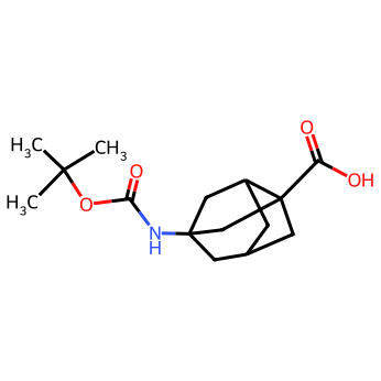 CC(C)(C)OC(=O)NC12CC3CC(C1)C(C(=O)O)(C3)C2